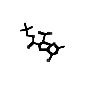 Cc1cc(Cl)c2cc(C(=O)OCC(C)(C)C)n(C(=O)O)c2n1